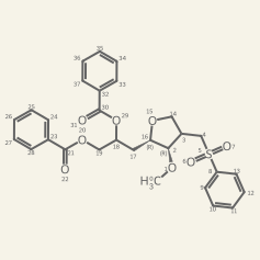 CO[C@@H]1C(CS(=O)(=O)c2ccccc2)CO[C@@H]1CC(COC(=O)c1ccccc1)OC(=O)c1ccccc1